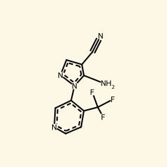 N#Cc1cnn(-c2cnccc2C(F)(F)F)c1N